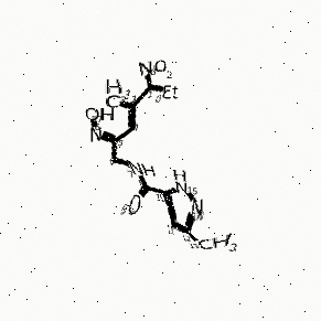 CCC(/C(C)=C/C(CNC(=O)c1cc(C)n[nH]1)=N\O)[N+](=O)[O-]